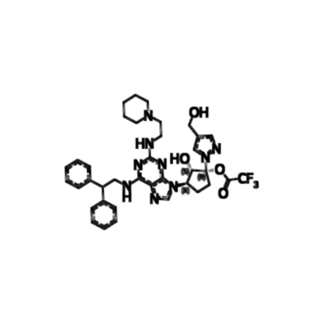 O=C(O[C@]1(n2cc(CO)cn2)CC[C@@H](n2cnc3c(NCC(c4ccccc4)c4ccccc4)nc(NCCN4CCCCC4)nc32)[C@@H]1O)C(F)(F)F